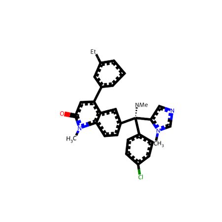 CCc1cccc(-c2cc(=O)n(C)c3ccc([C@](NC)(c4ccc(Cl)cc4)c4cncn4C)cc23)c1